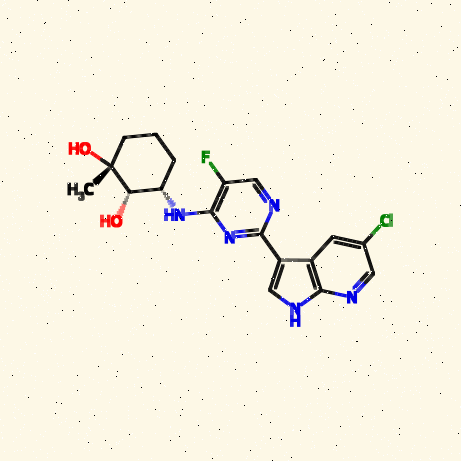 C[C@@]1(O)CCC[C@H](Nc2nc(-c3c[nH]c4ncc(Cl)cc34)ncc2F)[C@@H]1O